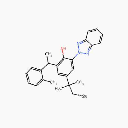 Cc1ccccc1C(C)c1cc(C(C)(C)CC(C)(C)C)cc(-n2nc3ccccc3n2)c1O